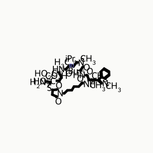 C/C(=C\[C@H](C(C)C)N(C)C(=O)[C@@H](NC(=O)[C@@H](NC(=O)CCCCCN1C(=O)CC(SC[C@H](N)C(=O)O)C1=O)C(C)(C)c1cn(C)c2ccccc12)C(C)(C)C)C(=O)N[C@H](CCC(=O)O)C(=O)O